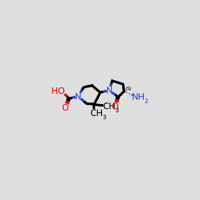 CC1(C)CN(C(=O)O)CCC1N1CC[C@H](N)C1=O